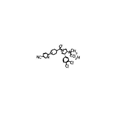 CN(C(=O)O)[C@@H]1CN(C(=O)C2CCN(c3ccc(C#N)cn3)CC2)C[C@H]1c1ccc(Cl)c(Cl)c1